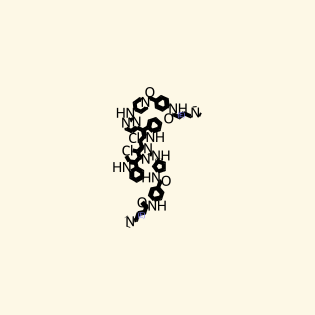 Cc1[nH]c2ccccc2c1-c1nc(N[C@H]2CCC(NC(=O)c3ccc(NC(=O)/C=C/CN(C)C)cc3)C2)nc(Cc2[nH]c3ccccc3c2-c2nc(NC3CCN(C(=O)c4ccc(NC(=O)/C=C/CN(C)C)cc4)CC3)ncc2Cl)c1Cl